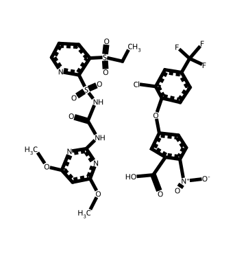 CCS(=O)(=O)c1cccnc1S(=O)(=O)NC(=O)Nc1nc(OC)cc(OC)n1.O=C(O)c1cc(Oc2ccc(C(F)(F)F)cc2Cl)ccc1[N+](=O)[O-]